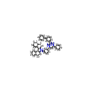 C1=CC2=CC=C3C(c4c(ccc5ccccc45)N3c3cccc(-c4cc(-c5ccccc5)nc(-c5cccc(-c6ccccc6)c5)n4)c3)C2C=C1